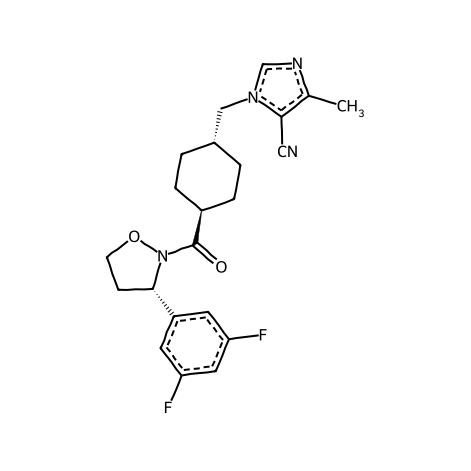 Cc1ncn(C[C@H]2CC[C@H](C(=O)N3OCC[C@H]3c3cc(F)cc(F)c3)CC2)c1C#N